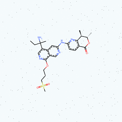 CCC(C)(N)c1cnc(OCCCS(C)(=O)=O)c2cnc(Nc3ccc4c(n3)[C@@H](C)[C@H](C)OC4=O)cc12